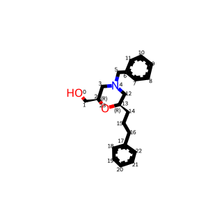 OC[C@H]1CN(Cc2ccccc2)C[C@@H](CCCc2ccccc2)O1